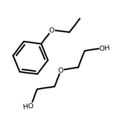 CCOc1ccccc1.OCCOCCO